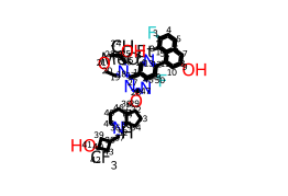 CCc1c(F)ccc2cc(O)cc(-c3nc(OC)c4c(N5CCOC[C@@](C)(O)C5)nc(OC[C@]56CCC[C@H]5N(CC5CC(O)(C(F)(F)F)C5)CCC6)nc4c3F)c12